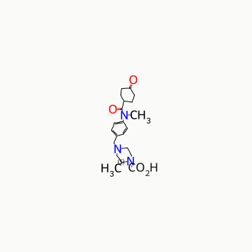 C[C@H]1CN(Cc2ccc(N(C)C(=O)C3CCC(=O)CC3)cc2)CCN1C(=O)O